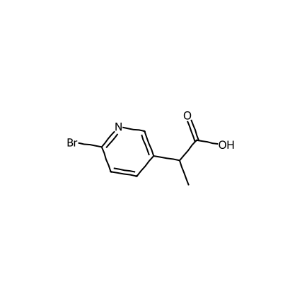 CC(C(=O)O)c1ccc(Br)nc1